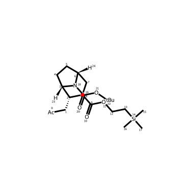 CC(=O)C[C@@H]1[C@@H]2CC[C@H](CN1C(=O)OCC[Si](C)(C)C)N2C(=O)OC(C)(C)C